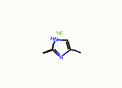 Cc1c[nH]c(C)n1.F